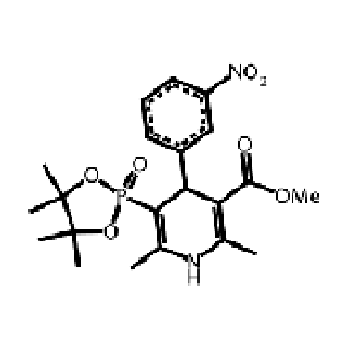 COC(=O)C1=C(C)NC(C)=C(P2(=O)OC(C)(C)C(C)(C)O2)C1c1cccc([N+](=O)[O-])c1